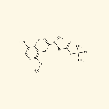 COc1ccc(N)c(Br)c1OC(=O)[C@H](C)NC(=O)OC(C)(C)C